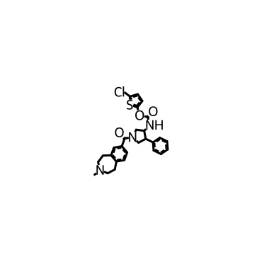 CN1CCc2ccc(C(=O)N3CC(NC(=O)Oc4ccc(Cl)s4)C(c4ccccc4)C3)cc2CC1